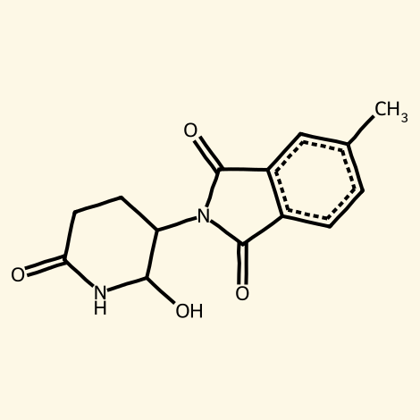 Cc1ccc2c(c1)C(=O)N(C1CCC(=O)NC1O)C2=O